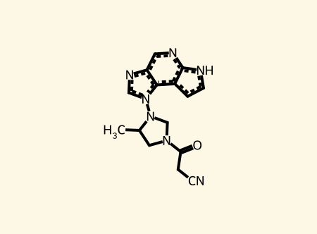 CC1CN(C(=O)CC#N)CN1n1cnc2cnc3[nH]ccc3c21